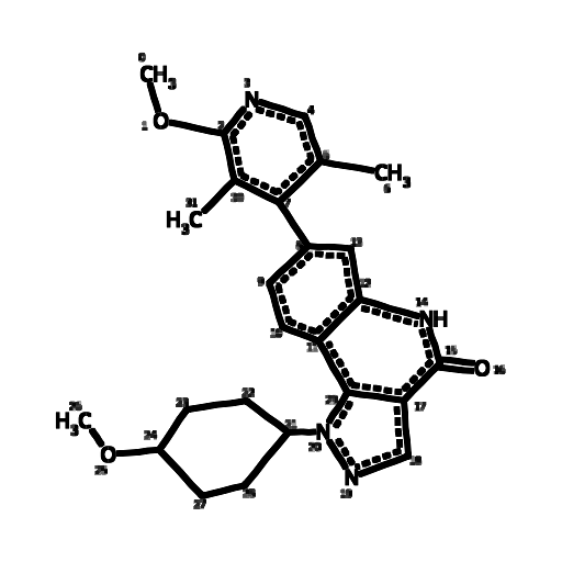 COc1ncc(C)c(-c2ccc3c(c2)[nH]c(=O)c2cnn(C4CCC(OC)CC4)c23)c1C